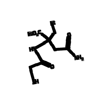 CCOC(=O)C(CC(N)=O)(NC(=O)CS)SCC